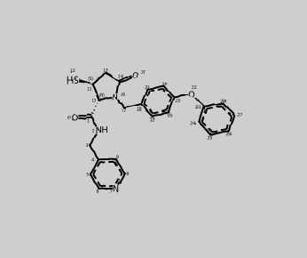 O=C(NCc1ccncc1)[C@@H]1[C@@H](S)CC(=O)N1Cc1ccc(Oc2ccccc2)cc1